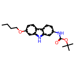 CCCCOc1ccc2c(c1)[nH]c1cc(NC(=O)OC(C)(C)C)ccc12